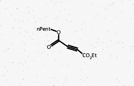 CCCCCOC(=O)C#CC(=O)OCC